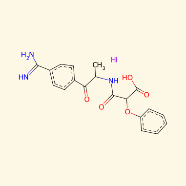 CC(NC(=O)C(Oc1ccccc1)C(=O)O)C(=O)c1ccc(C(=N)N)cc1.I